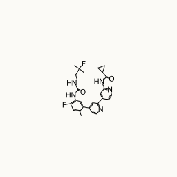 Cc1cc(F)c(NC(=O)NCCC(C)(C)F)cc1-c1ccnc(-c2ccnc(NC(=O)C3CC3)c2)c1